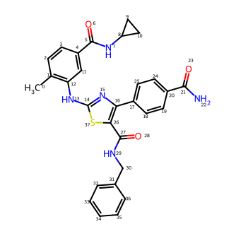 Cc1ccc(C(=O)NC2CC2)cc1Nc1nc(-c2ccc(C(N)=O)cc2)c(C(=O)NCc2ccccc2)s1